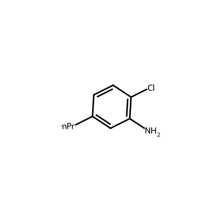 CC[CH]c1ccc(Cl)c(N)c1